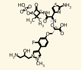 C[n+]1cc(-c2ccc(OC[C@H](O/N=C(\C(=O)N[C@@H]3C(=O)N(OS(=O)(=O)O)C3(C)C)c3csc(N)n3)C(=O)O)cc2F)cn1CC(O)CN